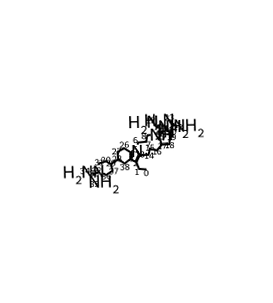 CCc1c2c(n(CCCNC(N)N)c1CCCC1CCN(C(N)N)CC1)CCC(C1CCN(C(N)N)CC1)C2